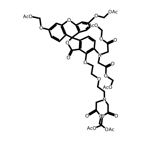 CC(=O)OCOC(=O)CN(CCOCCOc1c(N(CC(=O)OCOC(C)=O)CC(=O)OCOC(C)=O)ccc2c1C(=O)OC21c2ccc(OCOC(C)=O)cc2Oc2cc(OCOC(C)=O)ccc21)CC(=O)OCOC(C)=O